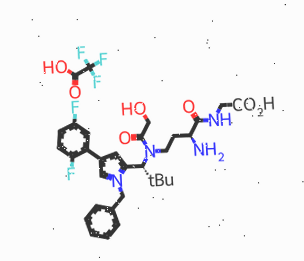 CC(C)(C)[C@H](c1cc(-c2cc(F)ccc2F)cn1Cc1ccccc1)N(CC[C@H](N)C(=O)NCC(=O)O)C(=O)CO.O=C(O)C(F)(F)F